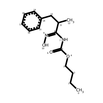 CCCCOC(=O)NC(=NO)C(C)Cc1ccccc1